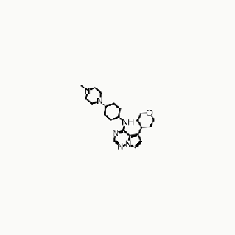 CN1CCN([C@H]2CC[C@H](Nc3ncnn4ccc(C5CCOCC5)c34)CC2)CC1